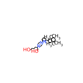 CC1(C)CCC(C)(C)c2cc(-c3cccc(N4CCN(C(CO)CCCCO)CC4)n3)ccc21